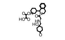 O=C(O)C(=O)O.O=C1CCC(O)(CNCC(=O)N2CCc3ccccc3C2C2CCCCC2)CC1